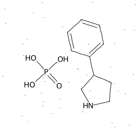 O=P(O)(O)O.c1ccc(C2CCNC2)cc1